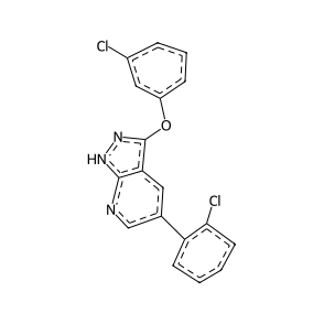 Clc1cccc(Oc2n[nH]c3ncc(-c4ccccc4Cl)cc23)c1